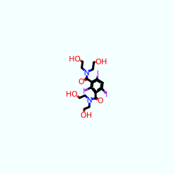 O=C(c1c(I)cc(I)c(C(=O)N(CCO)CCO)c1I)N(CCO)CCO